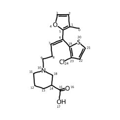 Cc1ccoc1C(=CCCN1CCCC(C(=O)O)C1)c1sccc1Cl